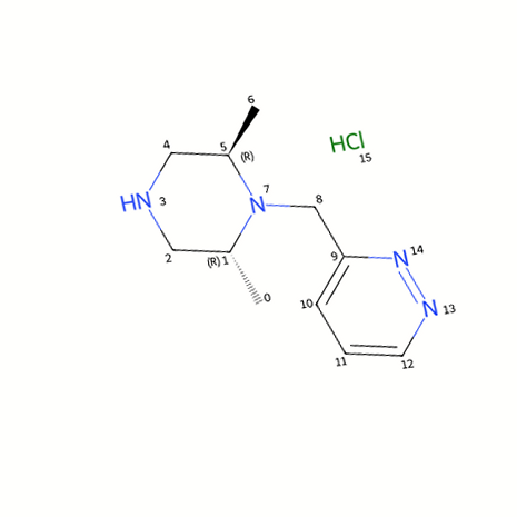 C[C@@H]1CNC[C@@H](C)N1Cc1cccnn1.Cl